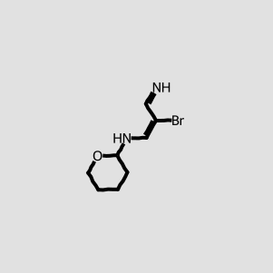 N=C/C(Br)=C\NC1CCCCO1